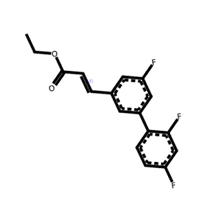 CCOC(=O)/C=C/c1cc(F)cc(-c2ccc(F)cc2F)c1